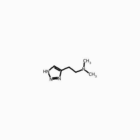 CN(C)CCc1c[nH]nn1